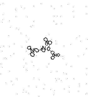 c1ccc(N(c2ccccc2)c2ccc(-c3ccc(-c4cc(-c5ccc6c(c5)c5ccccc5n6-c5ccccc5)cc(-c5cccc6c5oc5ccccc56)c4)nc3)cc2)cc1